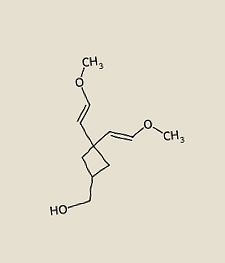 COC=CC1(C=COC)CC(CO)C1